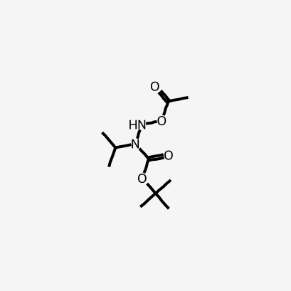 CC(=O)ONN(C(=O)OC(C)(C)C)C(C)C